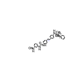 CC(C)(Nc1ccc(/C=C/c2ccc(NC(=O)Nc3cccc(NN=O)c3)cc2)cc1)C(=O)Nc1ccccc1